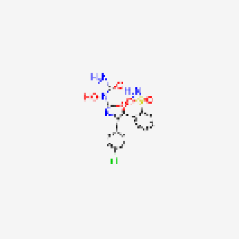 NC(=O)N(O)c1nc(-c2ccc(Cl)cc2)c(-c2ccccc2S(N)(=O)=O)o1